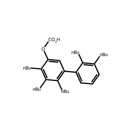 CCCCc1cccc(-c2cc(OC(=O)O)c(CCCC)c(CCCC)c2CCCC)c1CCCC